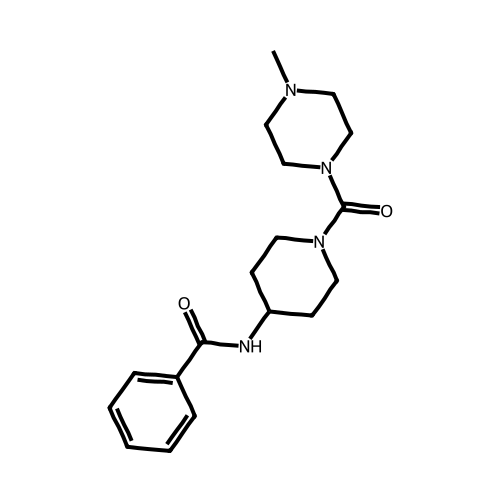 CN1CCN(C(=O)N2CCC(NC(=O)c3ccccc3)CC2)CC1